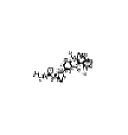 CCc1cc(-c2cnn(CC(N)=O)c2)ccc1N(C)c1cc2c(cn1)ncn2C